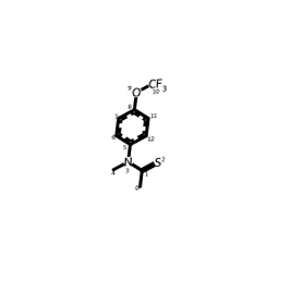 CC(=S)N(C)c1ccc(OC(F)(F)F)cc1